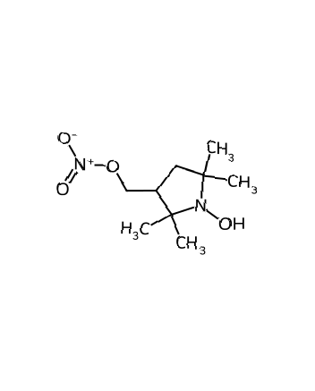 CC1(C)CC(CO[N+](=O)[O-])C(C)(C)N1O